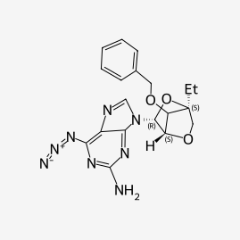 CC[C@]12CO[C@@H](C1OCc1ccccc1)[C@H](n1cnc3c(N=[N+]=[N-])nc(N)nc31)O2